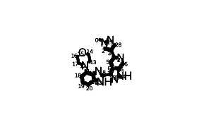 Cn1cc(-c2cc3c(-c4nc5c(N6CCOCC6)cccc5[nH]4)n[nH]c3cn2)cn1